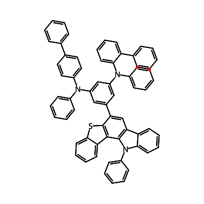 c1ccc(-c2ccc(N(c3ccccc3)c3cc(-c4cc5c6ccccc6n(-c6ccccc6)c5c5c4sc4ccccc45)cc(N(c4ccccc4)c4ccccc4-c4ccccc4)c3)cc2)cc1